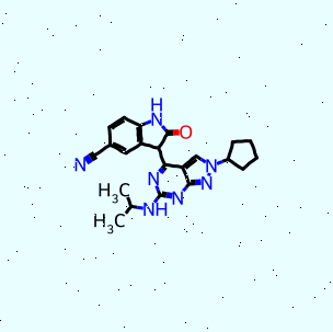 CC(C)Nc1nc(C2C(=O)Nc3ccc(C#N)cc32)c2cn(C3CCCC3)nc2n1